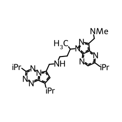 CNCc1nn(C(C)CCNCc2cc(C(C)C)c3nnc(C(C)C)nn23)c2ncc(C(C)C)nc12